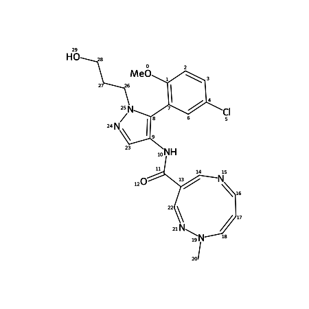 COc1ccc(Cl)cc1-c1c(NC(=O)c2cncccn(C)nc2)cnn1CCCO